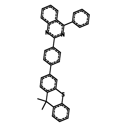 CC1(C)c2ccccc2Sc2cc(-c3ccc(-c4nc(-c5ccccc5)c5ccccc5n4)cc3)ccc21